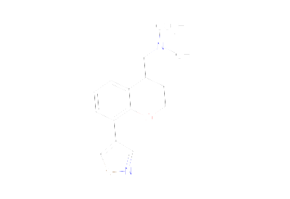 CN(CC1CCOc2c(-c3cnsc3)cccc21)C(=O)O